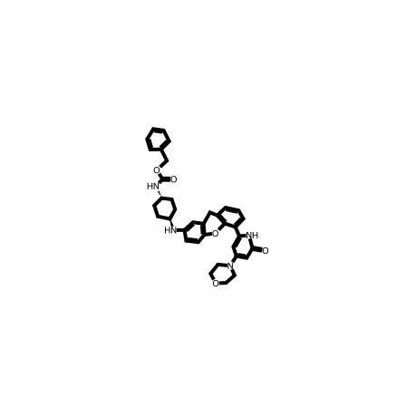 O=C(N[C@H]1CC[C@H](Nc2ccc3c(c2)Cc2cccc(-c4cc(N5CCOCC5)cc(=O)[nH]4)c2O3)CC1)OCc1ccccc1